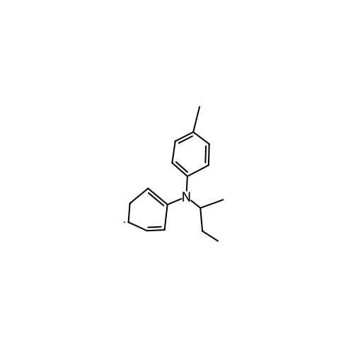 CCC(C)N(C1=CC[CH]C=C1)c1ccc(C)cc1